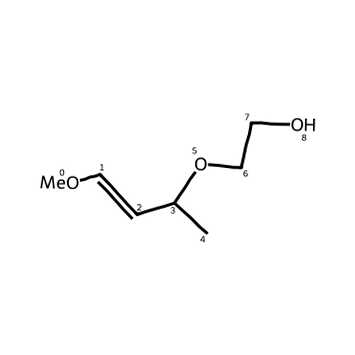 COC=CC(C)OCCO